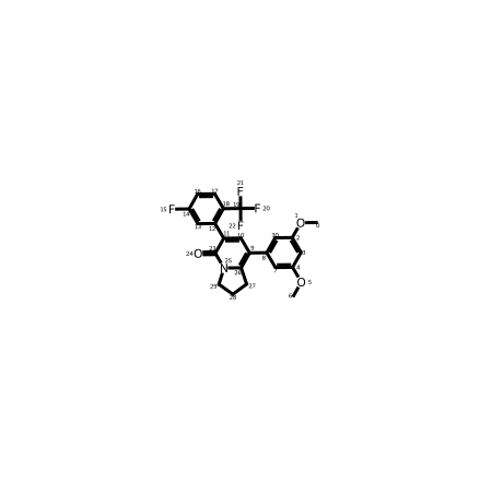 COc1cc(OC)cc(-c2cc(-c3cc(F)ccc3C(F)(F)F)c(=O)n3c2CCC3)c1